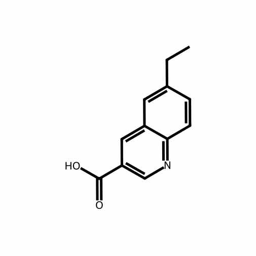 CCc1ccc2ncc(C(=O)O)cc2c1